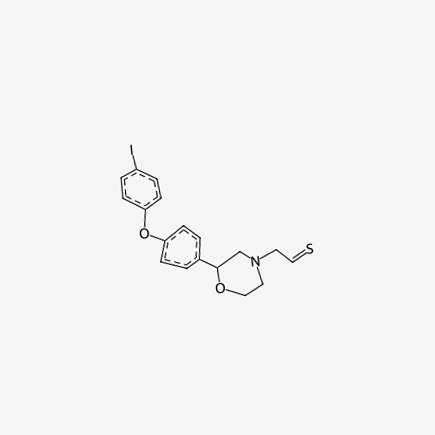 S=CCN1CCOC(c2ccc(Oc3ccc(I)cc3)cc2)C1